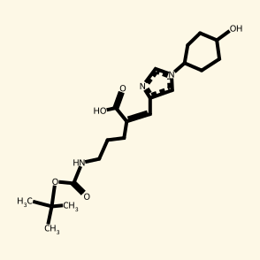 CC(C)(C)OC(=O)NCCCC(=Cc1cn(C2CCC(O)CC2)cn1)C(=O)O